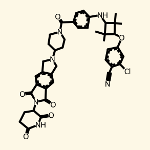 CC1(C)C(Nc2ccc(C(=O)N3CCC(N4Cc5cc6c(cc5C4)C(=O)N(C4CCC(=O)NC4=O)C6=O)CC3)cc2)C(C)(C)C1Oc1ccc(C#N)c(Cl)c1